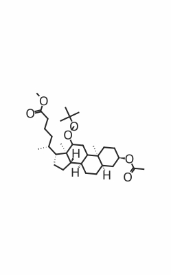 COC(=O)CCC[C@@H](C)[C@H]1CC[C@H]2[C@@H]3CC[C@@H]4C[C@H](OC(C)=O)CC[C@]4(C)C3CC(OOC(C)(C)C)[C@]12C